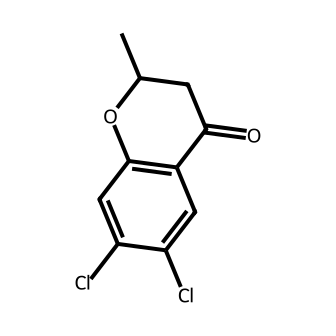 CC1CC(=O)c2cc(Cl)c(Cl)cc2O1